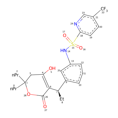 CCCC1(CCC)CC(O)=C([C@H](CC)c2cccc(NS(=O)(=O)c3ccc(C(F)(F)F)cn3)c2)C(=O)O1